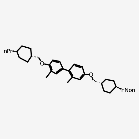 CCCCCCCCC[C@H]1CC[C@H](COc2ccc(-c3ccc(OC[C@H]4CC[C@H](CCC)CC4)c(C)c3)c(C)c2)CC1